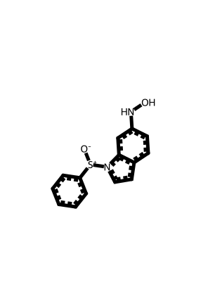 [O-][S+](c1ccccc1)n1ccc2ccc(NO)cc21